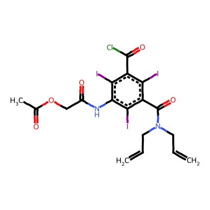 C=CCN(CC=C)C(=O)c1c(I)c(NC(=O)COC(C)=O)c(I)c(C(=O)Cl)c1I